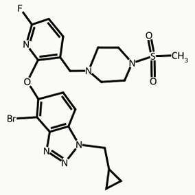 CS(=O)(=O)N1CCN(Cc2ccc(F)nc2Oc2ccc3c(nnn3CC3CC3)c2Br)CC1